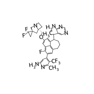 Cc1nc(N)cc(-c2cc3c4c(cc(OC[C@@]56CCN5C[C@]5(CC5(F)F)C6)cc4c2F)C([C@@H](C)c2cncnc2N)CCC3)c1C(F)(F)F